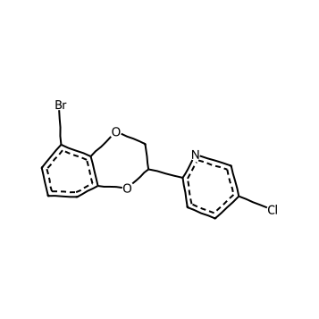 Clc1ccc(C2COc3c(Br)cccc3O2)nc1